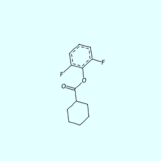 O=C(Oc1c(F)cccc1F)C1CCCCC1